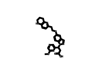 COc1cncc(C(CC(=O)O)n2ncc3cc(OCCc4ccc5c(n4)CCCN5)ccc32)n1